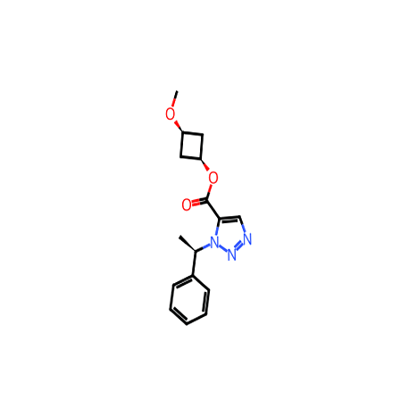 CO[C@H]1C[C@@H](OC(=O)c2cnnn2[C@H](C)c2ccccc2)C1